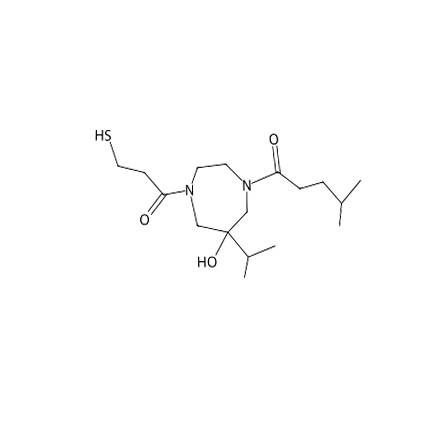 CC(C)CCC(=O)N1CCN(C(=O)CCS)CC(O)(C(C)C)C1